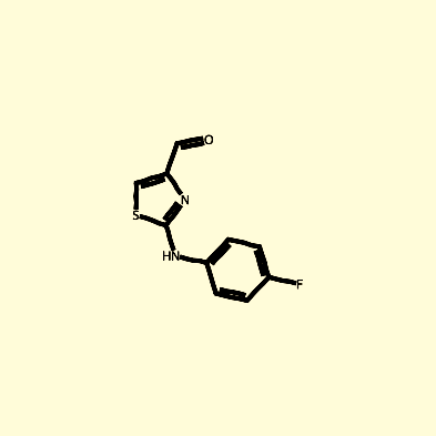 O=Cc1csc(Nc2ccc(F)cc2)n1